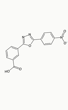 O=C(O)c1cccc(-c2nnc(-c3ccc([N+](=O)[O-])cc3)o2)c1